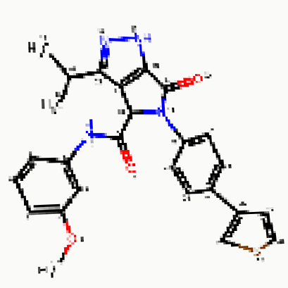 COc1cccc(NC(=O)C2c3c(C(C)C)n[nH]c3C(=O)N2c2ccc(-c3ccsc3)cc2)c1